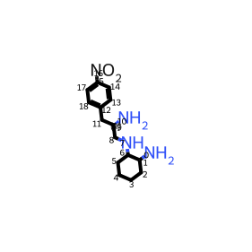 NC1CCCCC1NC[C@H](N)Cc1ccc([N+](=O)[O-])cc1